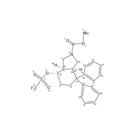 CC(C)(C)OC(=O)N1C[C@@H]2[C@@H](OS(=O)(=O)C(F)(F)F)CCC(c3ccccc3)(c3ccccc3)[C@@H]2C1